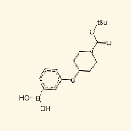 CC(C)(C)OC(=O)N1CCC(Oc2cccc(B(O)O)c2)CC1